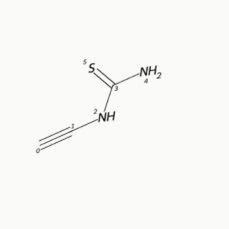 C#CNC(N)=S